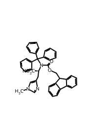 Cn1cnc(C[C@@H](C(=O)O)N(C(=O)OCC2c3ccccc3-c3ccccc32)C(c2ccccc2)(c2ccccc2)c2ccccc2)c1